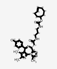 Cc1sc2c(c1C)C(c1ccc(Cl)cc1)=N[C@H](CC(=O)NCCCNC(=O)OC1CC/C=C/CCC1)c1nnc(C)n1-2